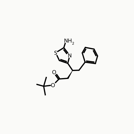 CC(C)(C)OC(=O)C[C@H](Cc1ccccc1)c1csc(N)n1